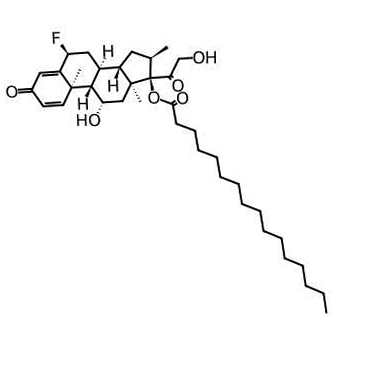 CCCCCCCCCCCCCCCC(=O)O[C@]1(C(=O)CO)[C@H](C)C[C@H]2[C@@H]3C[C@H](F)C4=CC(=O)C=C[C@]4(C)[C@H]3[C@@H](O)C[C@@]21C